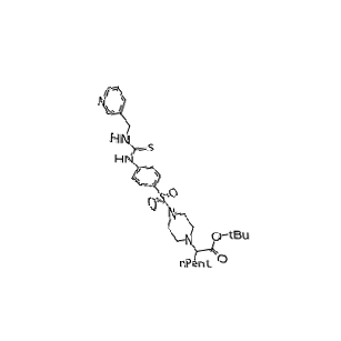 CCCCCC(C(=O)OC(C)(C)C)N1CCN(S(=O)(=O)c2ccc(NC(=S)NCc3cccnc3)cc2)CC1